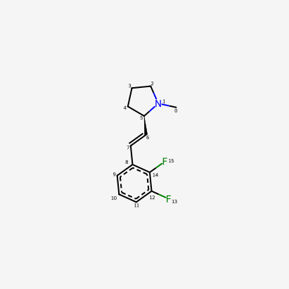 CN1CCC[C@@H]1/C=C/c1cccc(F)c1F